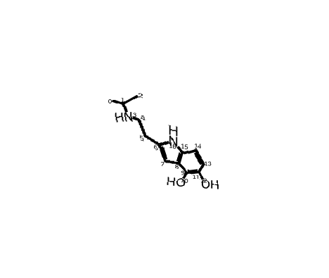 CC(C)NCCc1cc2c(O)c(O)ccc2[nH]1